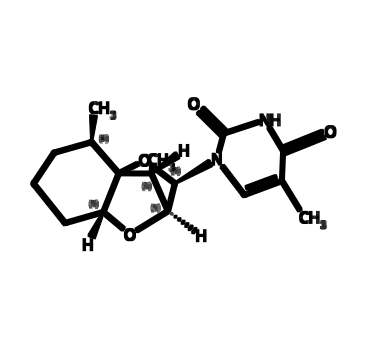 Cc1cn([C@@H]2OC34[C@H](C)CCC[C@H]3O[C@H]2[C@H]4C)c(=O)[nH]c1=O